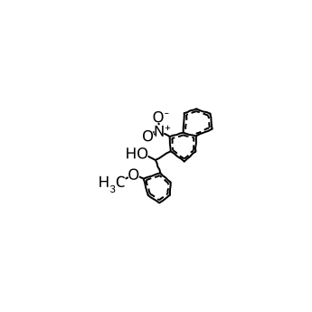 COc1ccccc1C(O)c1ccc2ccccc2c1[N+](=O)[O-]